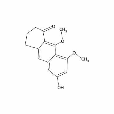 COc1cc(O)cc2cc3c(c(OC)c12)C(=O)CCC3